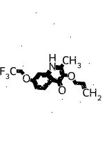 C=CCOc1c(C)[nH]c2cc(OCC(F)(F)F)ccc2c1=O